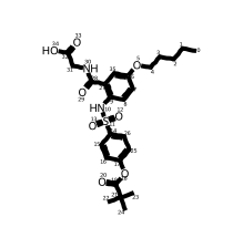 CCCCCOc1ccc(NS(=O)(=O)c2ccc(OC(=O)C(C)(C)C)cc2)c(C(=O)NCC(=O)O)c1